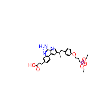 CCOP(=O)(CCCOc1ccc(CC(C)c2cnc3c(N)nc4cc(CCC(=O)O)ccc4c3c2)cc1)OCC